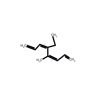 C=C/C=C(C)\C(=C/C=C)CC